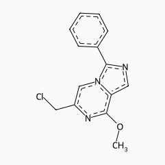 COc1nc(CCl)cn2c(-c3ccccc3)ncc12